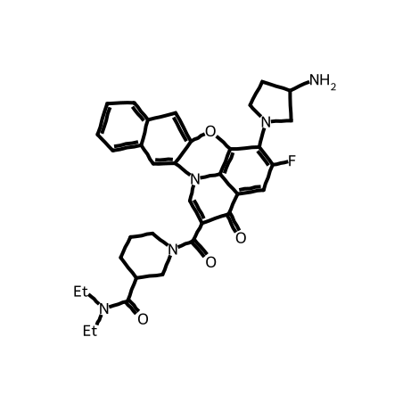 CCN(CC)C(=O)C1CCCN(C(=O)c2cn3c4c(c(N5CCC(N)C5)c(F)cc4c2=O)Oc2cc4ccccc4cc2-3)C1